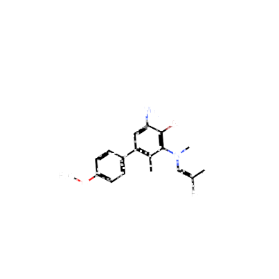 CC/C(C)=C/N(C)c1c(C)c(-c2ccc(OC(F)(F)F)cc2)cc(N)c1Br